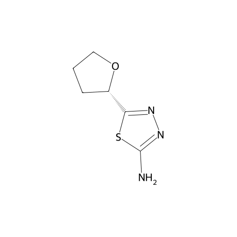 Nc1nnc([C@@H]2CCCO2)s1